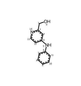 OCc1cc(Nc2ccccc2)ccn1